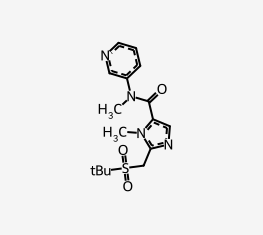 CN(C(=O)c1cnc(CS(=O)(=O)C(C)(C)C)n1C)c1cccnc1